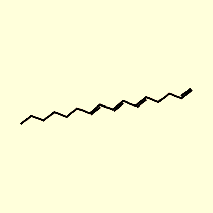 C=CCCC=CC=CC=CCCCCCC